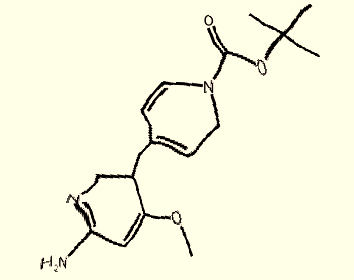 COC1=CC(N)=NCC1C1=CCN(C(=O)OC(C)(C)C)C=C1